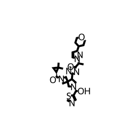 CC(c1nc(C2CN(C(O)c3cncs3)CC23CN(C(=O)[C@H]2CC2(C)C)C3)no1)n1ccc(C2CCOCC2)n1